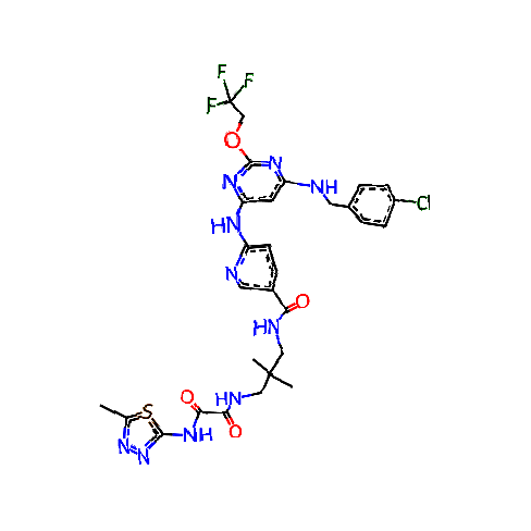 Cc1nnc(NC(=O)C(=O)NCC(C)(C)CNC(=O)c2ccc(Nc3cc(NCc4ccc(Cl)cc4)nc(OCC(F)(F)F)n3)nc2)s1